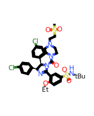 CCOc1ccc(S(=O)(=O)NC(C)(C)C)cc1C1=N[C@@H](c2ccc(Cl)cc2)[C@@H](c2ccc(Cl)cc2)N1C(=O)N1CCN(CCS(C)(=O)=O)CC1